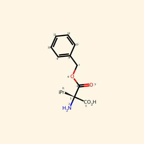 CC(C)[C@](N)(C(=O)O)C(=O)OCc1ccccc1